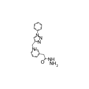 NNC(=O)Cc1ccc[n+](Cc2cn(-c3ccccc3)nn2)c1